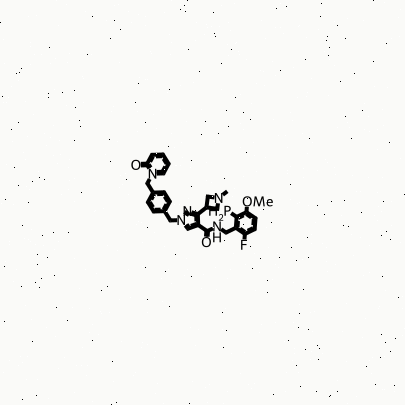 COc1ccc(F)c(CNC(=O)c2cn(Cc3ccc(Cn4ccccc4=O)cc3)nc2C2CN(C)C2)c1P